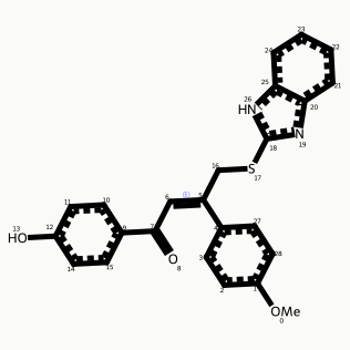 COc1ccc(/C(=C\C(=O)c2ccc(O)cc2)CSc2nc3ccccc3[nH]2)cc1